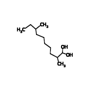 CCC(C)CCCCCC(C)C(O)O